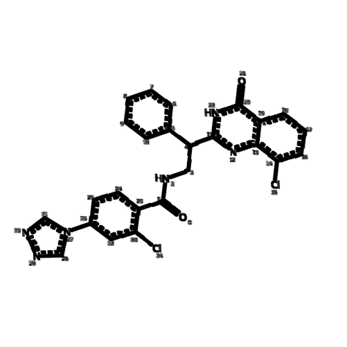 O=C(NCC(c1ccccc1)c1nc2c(Cl)cccc2c(=O)[nH]1)c1ccc(-n2cnnc2)cc1Cl